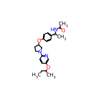 CCC(C)Oc1ccc(N2CCC(Oc3ccc([C@H](C)NC(C)=O)cc3)C2)nc1